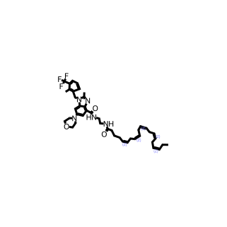 CC/C=C\C/C=C\C/C=C\C/C=C\C/C=C\CCCC(=O)NCCNC(=O)c1cc(N2CCOCC2)cc2c1nc(C)n2Cc1cccc(C(F)(F)F)c1C